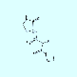 N[C@@H](C[C@@H]1CCNC1=O)C(O)C(=O)N1CCC1